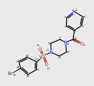 O=C(c1ccncc1)N1CCN(S(=O)(=O)c2ccc(Br)cc2)CC1